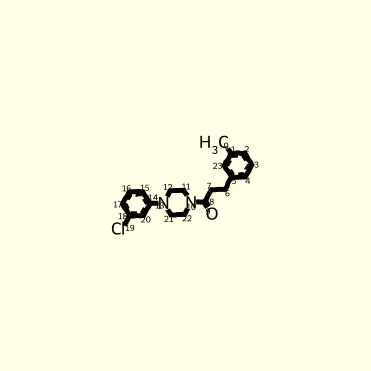 Cc1cccc(CCC(=O)N2CCN(c3cccc(Cl)c3)CC2)c1